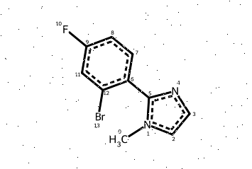 Cn1ccnc1-c1ccc(F)cc1Br